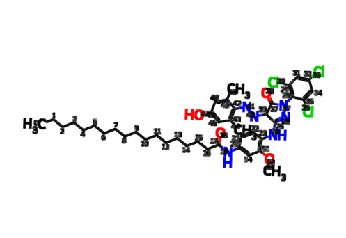 CCCCCCCCCCCCCCCCCC(=O)Nc1ccc(NC2=NN(c3c(Cl)cc(Cl)cc3Cl)C(=O)C2/N=N/c2c(C)cc(O)cc2C)c(OC)c1